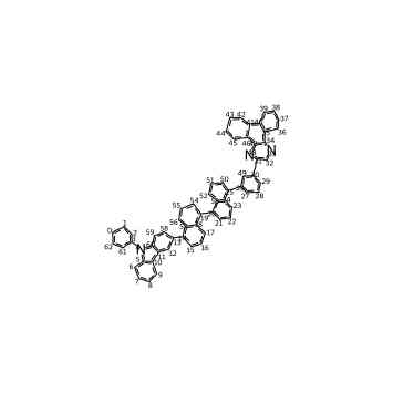 c1ccc(-n2c3ccccc3c3cc(-c4cccc5c(-c6cccc7c(-c8cccc(-c9cnc%10c%11ccccc%11c%11ccccc%11c%10n9)c8)cccc67)cccc45)ccc32)cc1